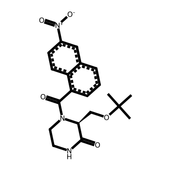 CC(C)(C)OC[C@H]1C(=O)NCCN1C(=O)c1cccc2cc([N+](=O)[O-])ccc12